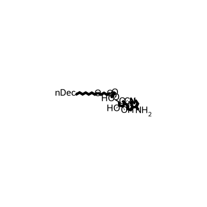 CCCCCCCCCCCCCCCCCOCCCOP(=O)(O)OC[C@H]1O[C@@](C#N)(c2ccc3c(N)ccnn23)[C@H](O)[C@@H]1O